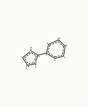 [c]1ccc(-c2nncs2)cc1